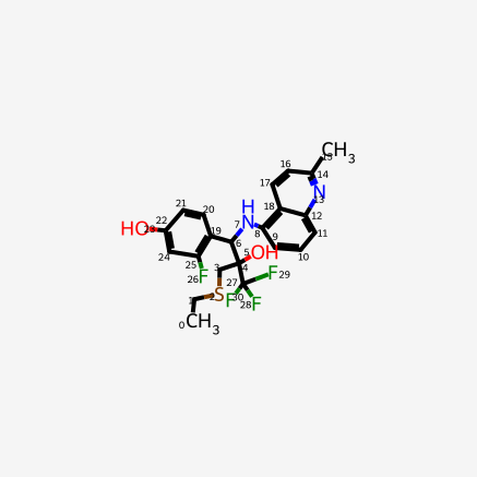 CCSCC(O)(C(Nc1cccc2nc(C)ccc12)c1ccc(O)cc1F)C(F)(F)F